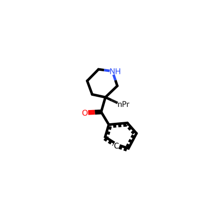 CCCC1(C(=O)c2ccccc2)CCCNC1